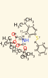 CC(C)c1ccc(SCc2ccccc2)cc1C[C@H](NC(=O)OC(C)(C)C)C(=O)OC(C)(C)C